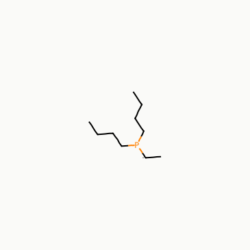 C[CH]P(CCCC)CCCC